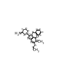 C=CCc1nc2nc(N3CCCC(N)C3)n(Cc3ccccc3)c2c(=O)n1C